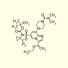 C=C(OCC)c1cnc2c(N3CCN(C(=O)N(C)C)CC3)cc(S(=O)(=O)N(C(=O)OC(C)(C)C)C3(C)CC3)cn12